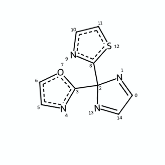 C1=NC(c2ncco2)(c2nccs2)N=C1